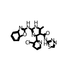 CC1=C(C(=O)Nc2nncs2)C(c2ncccc2Cl)N=C(Nc2nc3ccccc3o2)N1